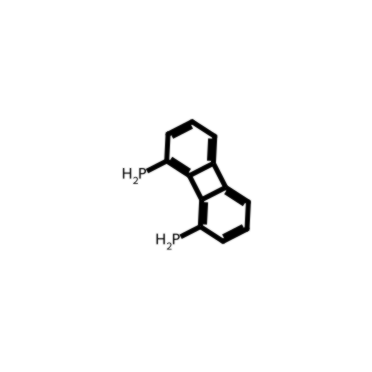 Pc1cccc2c1-c1c(P)cccc1-2